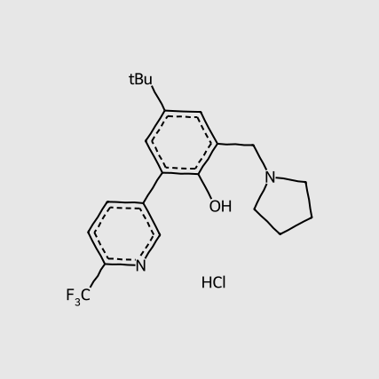 CC(C)(C)c1cc(CN2CCCC2)c(O)c(-c2ccc(C(F)(F)F)nc2)c1.Cl